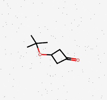 CC(C)(C)OC1CC(=O)C1